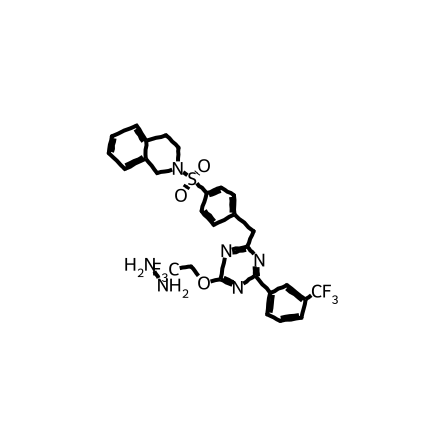 NN.O=S(=O)(c1ccc(Cc2nc(OCC(F)(F)F)nc(-c3cccc(C(F)(F)F)c3)n2)cc1)N1CCc2ccccc2C1